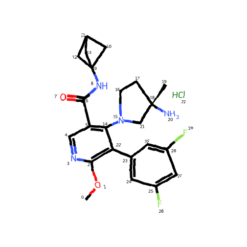 COc1ncc(C(=O)NC23CC(C2)C3)c(N2CC[C@](C)(N)C2)c1-c1cc(F)cc(F)c1.Cl